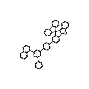 c1ccc(-c2cc(-c3ccc(-c4ccc5c(c4)C4(c6ccccc6-c6ccccc64)c4c-5oc5ccccc45)cc3)cc(-c3cccc4ccccc34)n2)cc1